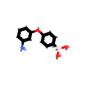 Nc1cccc(Oc2ccc(B(O)O)cc2)c1